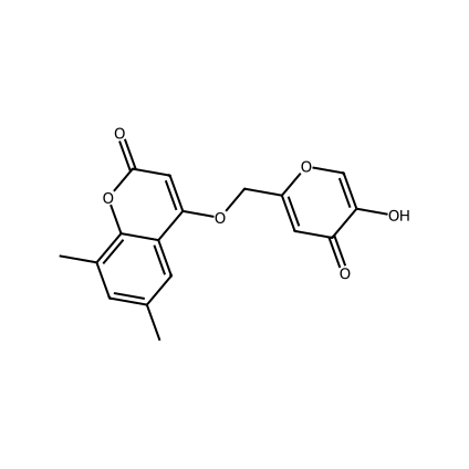 Cc1cc(C)c2oc(=O)cc(OCc3cc(=O)c(O)co3)c2c1